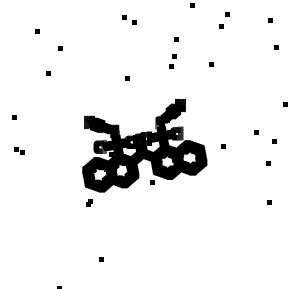 N#CSC(Cl)(Cl)c1c(C(=O)c2ccc3ccccc3c2C(Cl)(Cl)SC#N)ccc2ccccc12